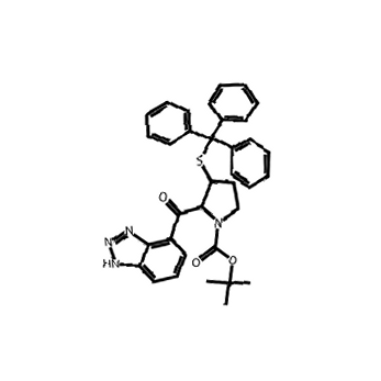 CC(C)(C)OC(=O)N1CCC(SC(c2ccccc2)(c2ccccc2)c2ccccc2)C1C(=O)c1cccc2[nH]nnc12